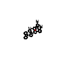 N#Cc1ccc2c(c1)c1cc(C#N)ccc1n2-c1c(C#N)cccc1-c1ccc(-n2c3ccccc3c3c(-n4c5ccccc5c5ccccc54)cccc32)cc1